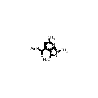 CNC(=O)c1cc(C)nc2c1c(C)nn2C